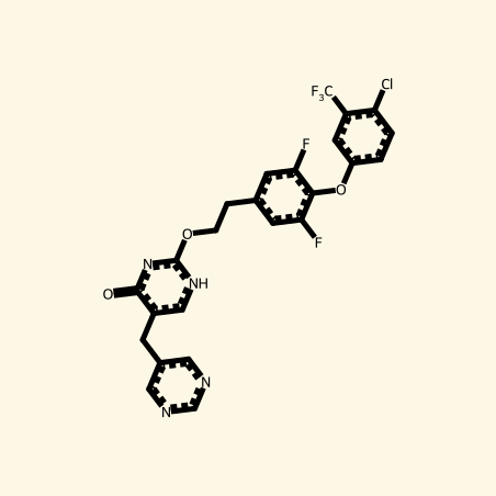 O=c1nc(OCCc2cc(F)c(Oc3ccc(Cl)c(C(F)(F)F)c3)c(F)c2)[nH]cc1Cc1cncnc1